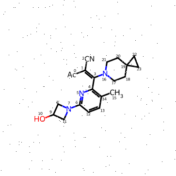 CC(=O)/C(C#N)=C(\c1nc(N2CC(O)C2)ccc1C)N1CCC2(CC1)CC2